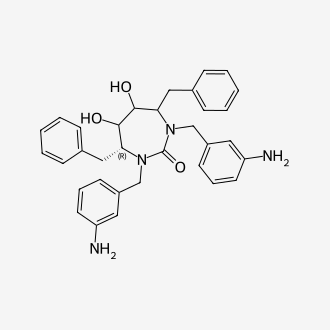 Nc1cccc(CN2C(=O)N(Cc3cccc(N)c3)[C@H](Cc3ccccc3)C(O)C(O)C2Cc2ccccc2)c1